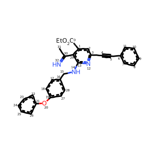 CCOC(=O)c1cc(C#Cc2ccccc2)nc(NCc2ccc(Oc3ccccc3)cc2)c1C(C)=N